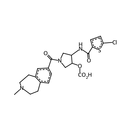 CN1CCc2ccc(C(=O)N3CC(NC(=O)c4ccc(Cl)s4)C(OC(=O)O)C3)cc2CC1